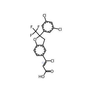 O=C(O)/C=C(\Cl)c1ccc2c(c1)CC(c1cc(Cl)cc(Cl)c1)(C(F)(F)F)O2